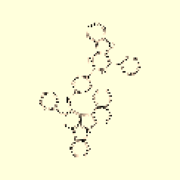 c1ccc(-c2nc(-c3ccc(-n4c5ccccc5c5cc6c7ccccc7n7c8ccc9ccccc9c8c(c54)c67)cc3)nc3c2oc2ccccc23)cc1